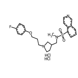 CN(CC1CCN(CCCOc2ccc(F)cc2)C1)S(=O)(=O)c1cccc2cnccc12.Cl.Cl